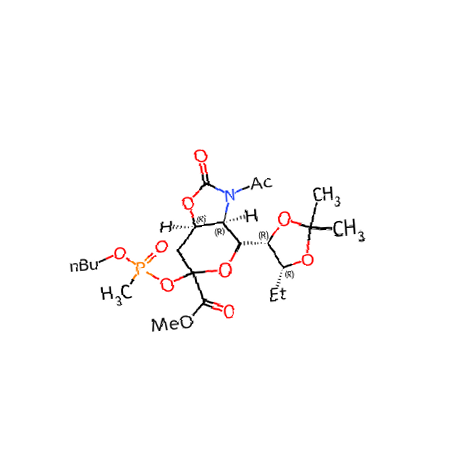 CCCCOP(C)(=O)OC1(C(=O)OC)C[C@H]2OC(=O)N(C(C)=O)[C@H]2C([C@@H]2OC(C)(C)O[C@@H]2CC)O1